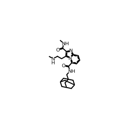 CNCCc1c(C(=O)NC)nc2cccc(C(=O)NCC34CC5CC(CC(C5)C3)C4)n12